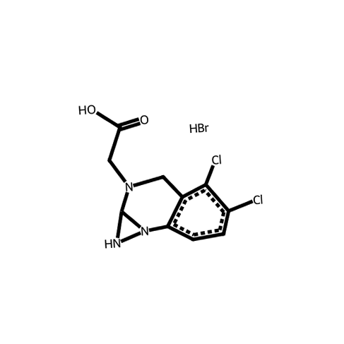 Br.O=C(O)CN1Cc2c(ccc(Cl)c2Cl)N2NC12